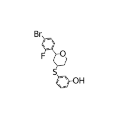 Oc1cccc(SC2CCOC(c3ccc(Br)cc3F)C2)c1